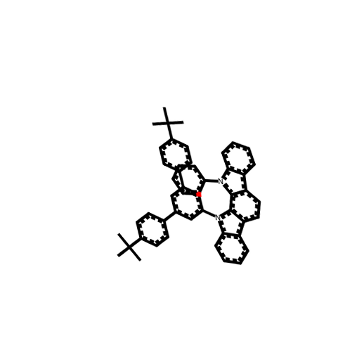 CC(C)(C)c1ccc(-c2cc(-c3ccc(C(C)(C)C)cc3)cc(-n3c4ccccc4c4ccc5c6ccccc6n(-c6ccccc6)c5c43)c2)cc1